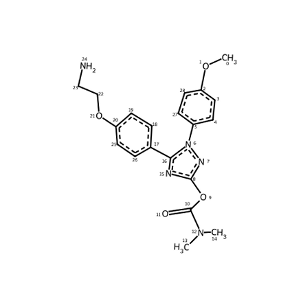 COc1ccc(-n2nc(OC(=O)N(C)C)nc2-c2ccc(OCCN)cc2)cc1